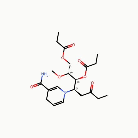 CCC(=O)C[C@H]([C@H](OC(=O)CC)[C@@H](COC(=O)CC)OC)N1C=CCC(C(N)=O)=C1